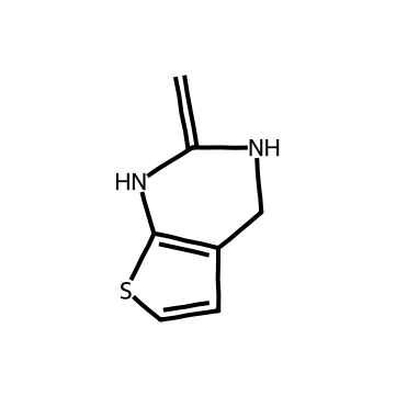 C=C1NCc2ccsc2N1